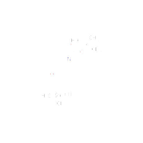 CC(C)(C)OC(=O)N1CCC2(C=[C]([Sn]([CH3])([CH3])[CH3])CO2)CC1